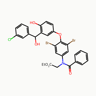 CCOC(=O)CN(C(=O)c1ccccc1)c1cc(Br)c(Oc2ccc(O)c(C(O)c3cccc(Cl)c3)c2)c(Br)c1